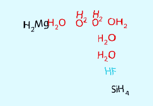 F.O.O.O.O.O.O.[MgH2].[SiH4]